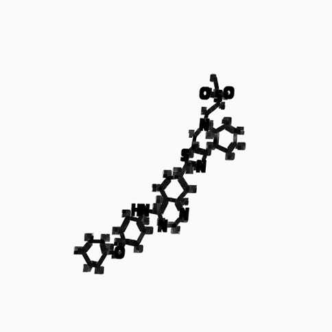 CS(=O)(=O)CCN(Cc1cnc(-c2ccc3c(Nc4ccc(Oc5ccccc5)cc4)ncnc3c2)s1)c1ccccc1